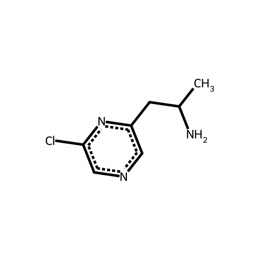 CC(N)Cc1cncc(Cl)n1